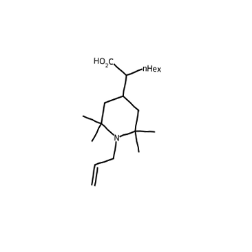 C=CCN1C(C)(C)CC(C(CCCCCC)C(=O)O)CC1(C)C